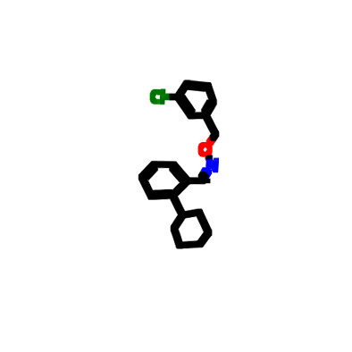 Clc1cccc(CO/N=[C]\c2ccccc2C2CCCCC2)c1